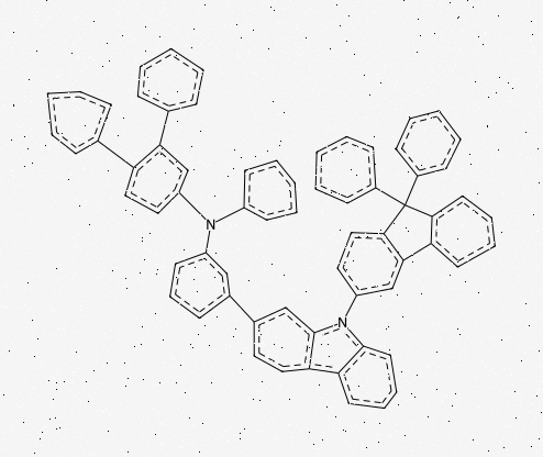 c1ccc(-c2ccc(N(c3ccccc3)c3cccc(-c4ccc5c6ccccc6n(-c6ccc7c(c6)-c6ccccc6C7(c6ccccc6)c6ccccc6)c5c4)c3)cc2-c2ccccc2)cc1